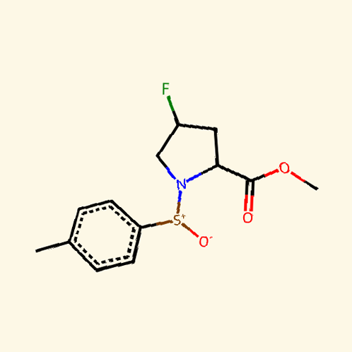 COC(=O)C1CC(F)CN1[S+]([O-])c1ccc(C)cc1